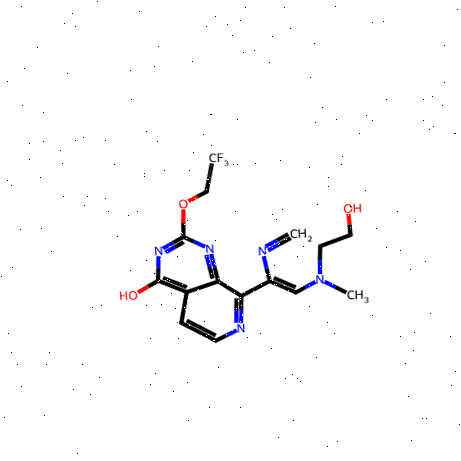 C=N/C(=C\N(C)CCO)c1nccc2c(O)nc(OCC(F)(F)F)nc12